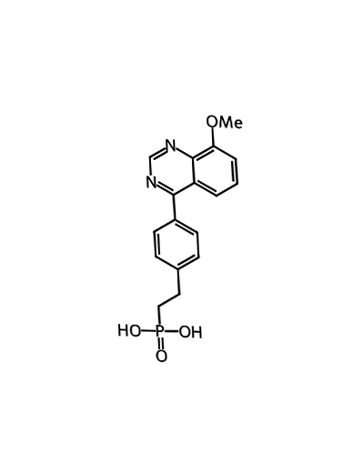 COc1cccc2c(-c3ccc(CCP(=O)(O)O)cc3)ncnc12